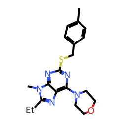 CCc1nc2c(N3CCOCC3)nc(SCc3ccc(C)cc3)nc2n1C